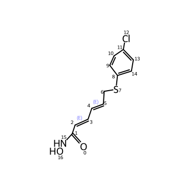 O=C(/C=C/C=C/CSc1ccc(Cl)cc1)NO